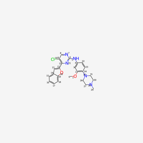 COc1cc(Nc2ncc(Cl)c(-c3cc4ccccc4o3)n2)ccc1N1CCN(C)CC1